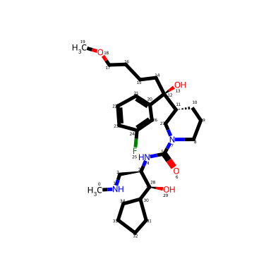 CNC[C@@H](NC(=O)N1CCC[C@@H]([C@@](O)(CCCCOC)c2cccc(F)c2)C1)[C@@H](O)C1CCCC1